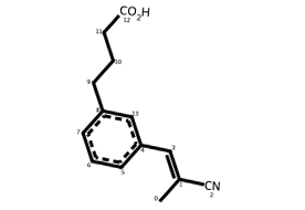 CC(C#N)=Cc1cccc(CCCC(=O)O)c1